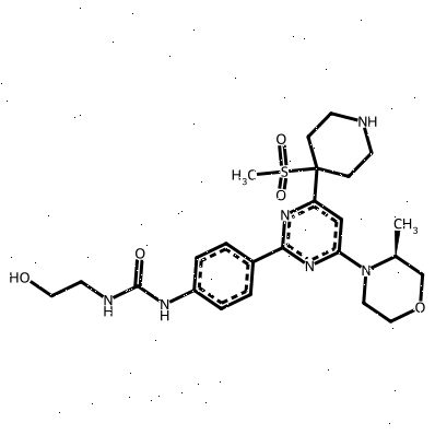 C[C@H]1COCCN1c1cc(C2(S(C)(=O)=O)CCNCC2)nc(-c2ccc(NC(=O)NCCO)cc2)n1